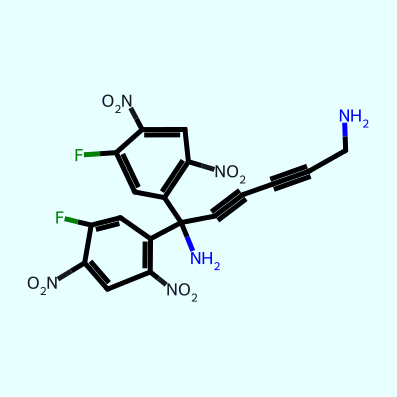 NCC#CC#CC(N)(c1cc(F)c([N+](=O)[O-])cc1[N+](=O)[O-])c1cc(F)c([N+](=O)[O-])cc1[N+](=O)[O-]